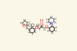 O=C(O)C1(Cc2cccc(OC[C@@H](O)COc3ccccc3N3CCCCC3)c2)CCCO1